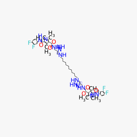 Cc1c(C(=O)C(=O)NC/C(=C/NCCCCCCCCCCCCN/C=C(/CNC(=O)C(=O)c2c(C)c(C(=O)Nc3ccc(F)c(F)c3)n(C)c2C)N=N)N=N)c(C)n(C)c1C(=O)Nc1ccc(F)c(F)c1